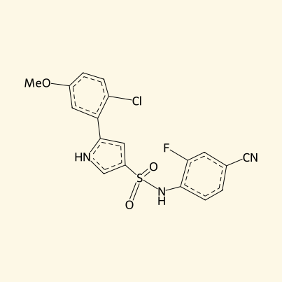 COc1ccc(Cl)c(-c2cc(S(=O)(=O)Nc3ccc(C#N)cc3F)c[nH]2)c1